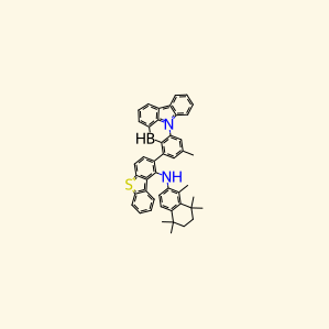 Cc1cc(-c2ccc3sc4ccccc4c3c2Nc2ccc3c(c2C)C(C)(C)CCC3(C)C)c2c(c1)-n1c3ccccc3c3cccc(c31)B2